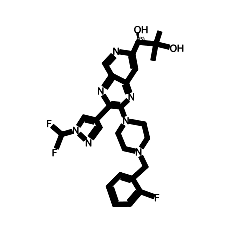 CC(C)(O)[C@@H](O)c1cc2nc(N3CCN(Cc4ccccc4F)CC3)c(-c3cnn(C(F)F)c3)nc2cn1